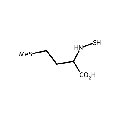 CSCCC(NS)C(=O)O